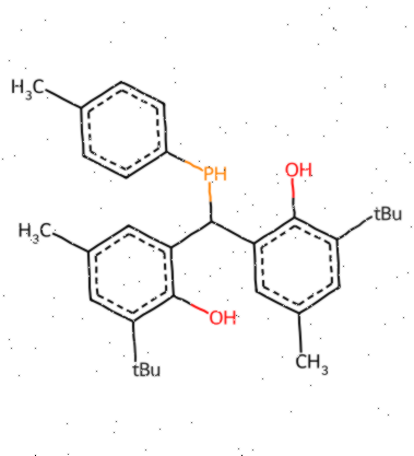 Cc1ccc(PC(c2cc(C)cc(C(C)(C)C)c2O)c2cc(C)cc(C(C)(C)C)c2O)cc1